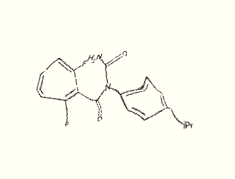 CC(C)c1ccc(N(C(N)=O)C(=O)c2c(F)cccc2F)cc1